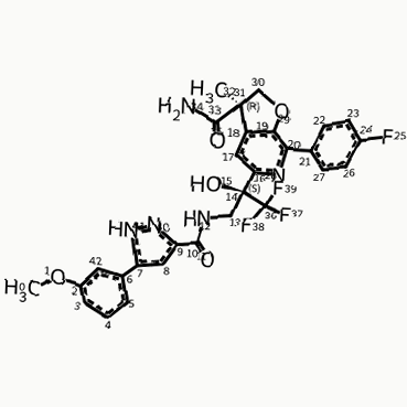 COc1cccc(-c2cc(C(=O)NC[C@](O)(c3cc4c(c(-c5ccc(F)cc5)n3)OC[C@]4(C)C(N)=O)C(F)(F)F)n[nH]2)c1